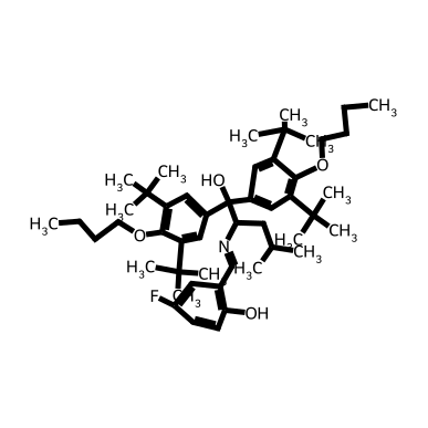 CCCCOc1c(C(C)(C)C)cc(C(O)(c2cc(C(C)(C)C)c(OCCCC)c(C(C)(C)C)c2)C(CC(C)C)N=Cc2cc(F)ccc2O)cc1C(C)(C)C